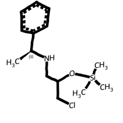 C[C@H](NCC(CCl)O[Si](C)(C)C)c1ccccc1